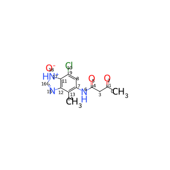 CC(=O)CC(=O)Nc1cc(Cl)c2c(c1C)N=C[NH+]2[O-]